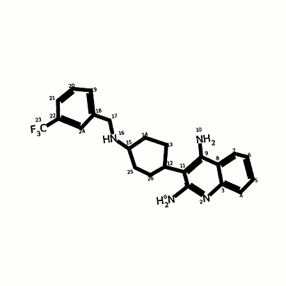 Nc1nc2ccccc2c(N)c1C1CCC(NCc2cccc(C(F)(F)F)c2)CC1